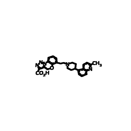 Cc1ccc2c(C3CCN(CCc4cccc5c4OCc4c(C(=O)O)nnn4-5)CC3)cccc2n1